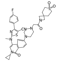 CN(c1nc(-c2ccc(F)cc2)c(C#N)s1)c1cn(C2CC2)c(=O)c2ccc(N3CCN(CC(=O)N4CC5(CCS(=O)(=O)CC5)C4)CC3)cc12